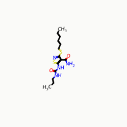 CCCCCCSc1nsc(NC(=O)NCCC)c1C(N)=O